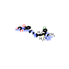 CC(=N)N1C(=N)[C@H](C)N=C(c2ccc(Cl)cc2)c2c1sc(C#Cc1cnn(CCN3CC(Nc4cccc5c4CN(C4CCC(=O)NC4=O)C5=O)C3)c1)c2C